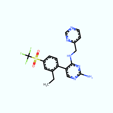 CCc1cc(S(=O)(=O)C(F)(F)F)ccc1-c1cnc(N)nc1NCc1ccncn1